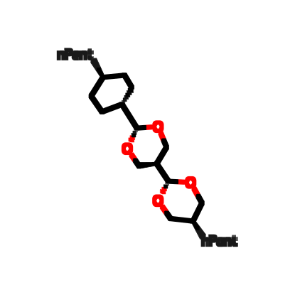 CCCCC[C@H]1CC[C@H]([C@H]2OC[C@H]([C@H]3OC[C@H](CCCCC)CO3)CO2)CC1